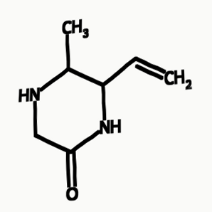 C=CC1NC(=O)CNC1C